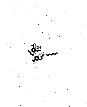 CCCCCCCCOC(=O)C1CCc2cc(C(C)=O)c(OC(CCCC)Oc3ccc(C(C)=O)c(O)c3CCC)cc2O1